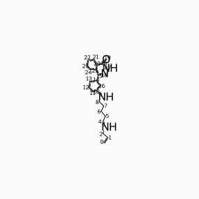 C=CCNCCCCCNc1cccc(-c2n[nH]c(=O)c3ccccc23)c1